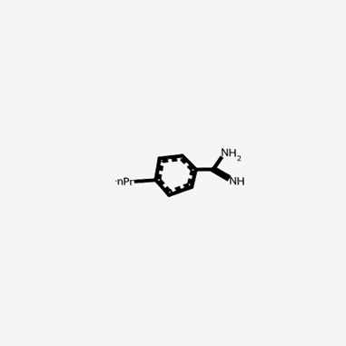 CC[CH]c1ccc(C(=N)N)cc1